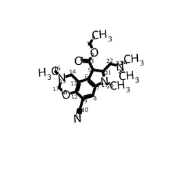 CCOC(=O)C1c2c(cc(C#N)c3c2CN(C)CO3)N(C)C1CN(C)C